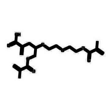 C=C(C)C(=O)OCCOCCOC(COC(=O)C(=C)C)CC(=C)C(=O)O